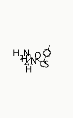 Cc1ccc(-c2sccc2C(=O)N2C[C@@H]3C[C@@H]3[C@H]2CN)cc1